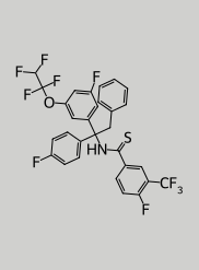 Fc1ccc(C(Cc2ccccc2)(NC(=S)c2ccc(F)c(C(F)(F)F)c2)c2cc(F)cc(OC(F)(F)C(F)F)c2)cc1